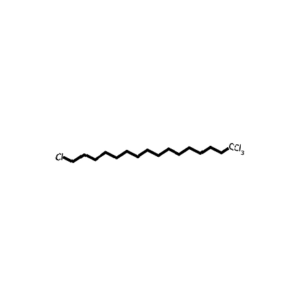 ClCCCCCCCCCCCCCCCC(Cl)(Cl)Cl